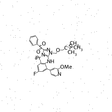 COc1cc(-c2cc(F)cc(C(C)C)c2Nc2nc(S(=O)(=O)c3ccccc3)nn2COCC[Si](C)(C)C)ccn1